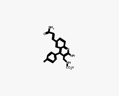 CCCc1nc2ccc(C=CC(N)=O)cc2c(-c2ccc(C)cc2)c1CNC(=O)O